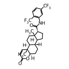 C[C@]12C=CC(=O)O[C@@H]1CC[C@@H]1[C@@H]2CC[C@]2(C)[C@@H](C(=O)Nc3cc(C(F)(F)F)ccc3C(F)(F)F)CC[C@@H]12